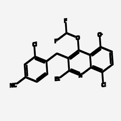 CCc1nc2c(Cl)ccc([O])c2c(OC(F)F)c1Cc1ccc(C#N)cc1Cl